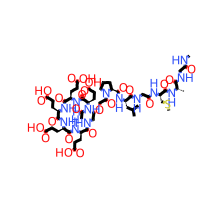 CNC(=O)CNC(=O)[C@H](C)NC(=O)[C@H](CSC)NC(=O)CNC(=O)[C@H](CC(C)C)NC(=O)[C@@H]1CCCN1C(=O)COCCNC(=O)[C@@H](CCC(=O)O)NC(=O)[C@@H](CCC(=O)O)NC(=O)[C@@H](CCC(=O)O)NC(=O)[C@@H](CCC(=O)O)NC(=O)[C@@H](CCC(=O)O)NC(C)=O